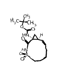 CC(C)(C)OC(=O)N[C@]12C[C@H]1/C=C\CCCCCS(=O)(=O)NC2=O